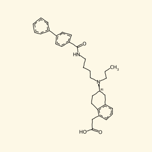 CCCN(CCCCNC(=O)c1ccc(-c2ccccc2)cc1)[C@@H]1CCc2c(CC(=O)O)cccc2C1